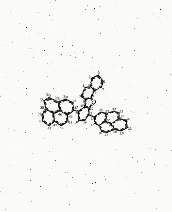 c1ccc2c(c1)ccc1c2oc2c(-c3cc4ccc5cccc6ccc(c3)c4c56)ccc(-c3ccc4ccc5cccc6ccc3c4c56)c21